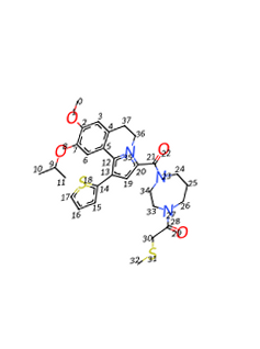 COc1cc2c(cc1OC(C)C)-c1c(-c3cccs3)cc(C(=O)N3CCCN(C(=O)CSC)CC3)n1CC2